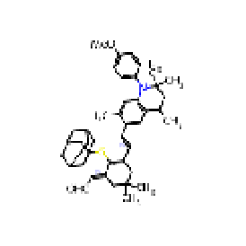 COc1ccc(N2c3cc(C)c(/C=C/C4=C(SC56CC7CC(CC(C7)C5)C6)C(=C/C=O)/CC(C)(C)C4)cc3C(C)CC2(C)C)cc1